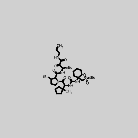 C=CCNC(=O)C(=O)C(CCCC)NC(=O)C1C(C(C)(C)C)CCN1C(=O)[C@@H](NC(=O)NC1(CS(=O)(=O)C(C)(C)C)CCCCC1)C1(C)CCCC1